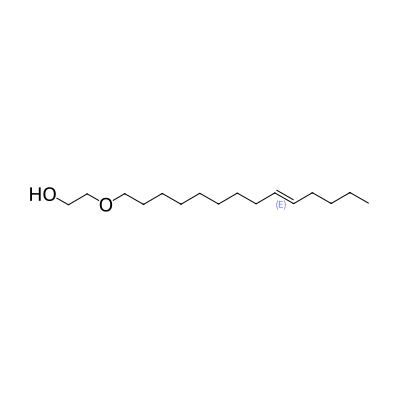 CCCC/C=C/CCCCCCCCOCCO